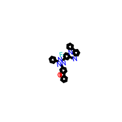 N#Cc1cc(-c2nc(-c3ccccc3)nc(-c3ccc4c(c3)oc3ccccc34)n2)c(F)cc1-n1c2ccccc2c2ccccc21